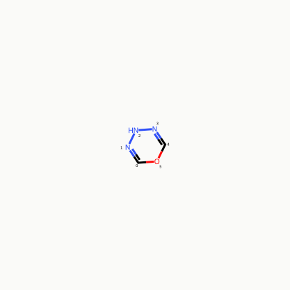 C1=NNN=CO1